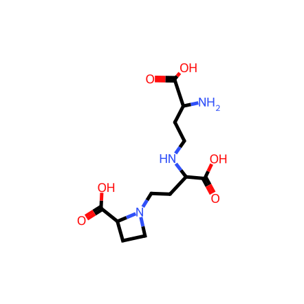 NC(CCNC(CCN1CCC1C(=O)O)C(=O)O)C(=O)O